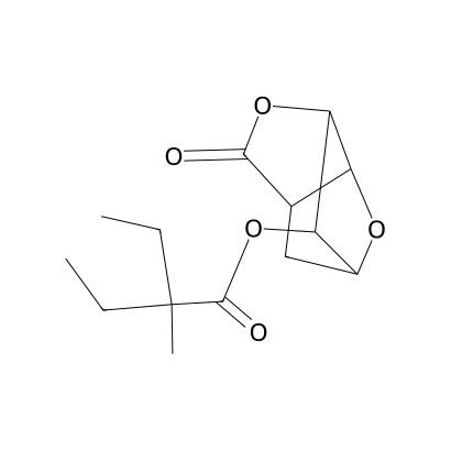 CCC(C)(CC)C(=O)OC1C2CC3C(=O)OC1C3O2